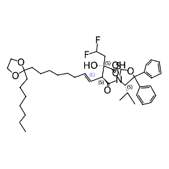 CCCCCCCC1(CCCCCC/C=C/[C@H](C(=O)N2C(=S)OC(c3ccccc3)(c3ccccc3)[C@@H]2C(C)C)[C@@](O)(CC(F)F)C(=O)O)OCCO1